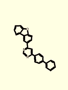 c1ccc(-c2ccc(-c3cc(-c4ccc5oc6ccccc6c5c4)ncn3)cc2)cc1